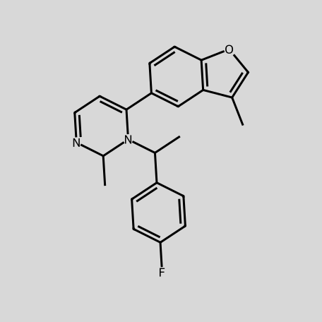 Cc1coc2ccc(C3=CC=NC(C)N3C(C)c3ccc(F)cc3)cc12